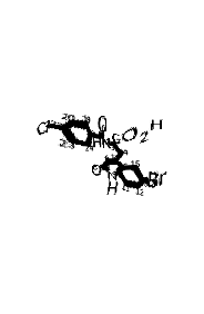 O=C(NC(Cc1cc(=O)[nH]c2ccc(Br)cc12)C(=O)O)c1ccc(Cl)cc1